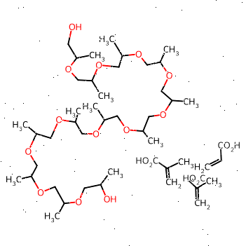 C=C(C)C(=O)O.C=C(C)C(=O)O.C=CC(=O)O.CC(O)COC(C)COC(C)COC(C)COC(C)COC(C)COC(C)COC(C)COC(C)COC(C)COC(C)COC(C)CO